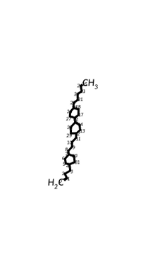 C=CCCC1CCC(CCCCC2CCC(C3CCC(CCCCCC)CC3)CC2)CC1